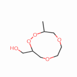 CC1COCCOCC(CO)OO1